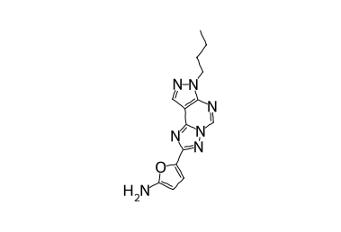 CCCCn1ncc2c1ncn1nc(-c3ccc(N)o3)nc21